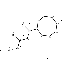 CCN(CC(O)CO)C1CCCCCCC1